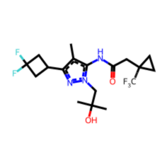 Cc1c(C2CC(F)(F)C2)nn(CC(C)(C)O)c1NC(=O)CC1(C(F)(F)F)CC1